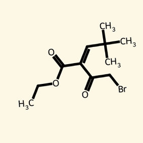 CCOC(=O)C(=CC(C)(C)C)C(=O)CBr